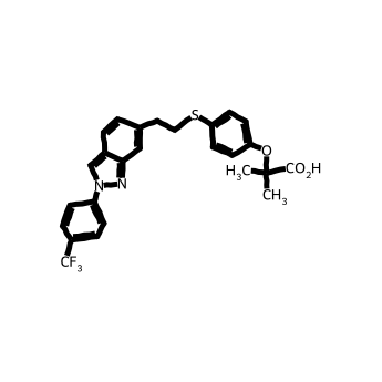 CC(C)(Oc1ccc(SCCc2ccc3cn(-c4ccc(C(F)(F)F)cc4)nc3c2)cc1)C(=O)O